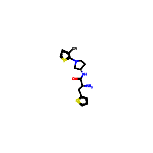 N#Cc1ccsc1N1CC[C@H](NC(=O)[C@@H](N)Cc2cccs2)C1